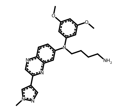 COc1cc(OC)cc(N(CCCCN)c2ccc3ncc(-c4cnn(C)c4)nc3c2)c1